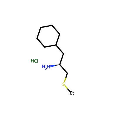 CCSC[C@@H](N)CC1CCCCC1.Cl